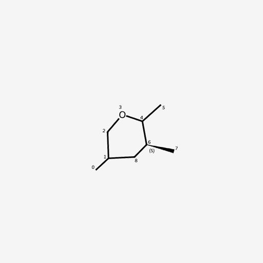 CC1COC(C)[C@@H](C)C1